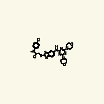 CN(C(=O)CSc1nc2ccc(Nc3nc(N4CCOCC4)nc(N4CCOCC4)n3)cc2s1)c1ccc(Cl)cc1